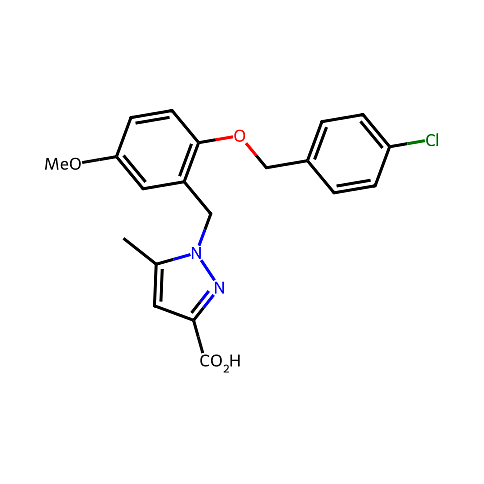 COc1ccc(OCc2ccc(Cl)cc2)c(Cn2nc(C(=O)O)cc2C)c1